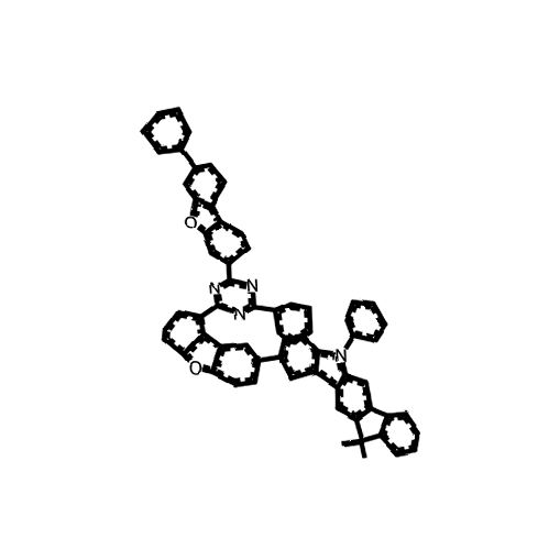 CC1(C)c2ccccc2-c2cc3c(cc21)c1cc(-c2ccc4oc5cccc(-c6nc(-c7ccccc7)nc(-c7ccc8c(c7)oc7cc(-c9ccccc9)ccc78)n6)c5c4c2)ccc1n3-c1ccccc1